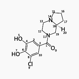 O=C(c1cc(O)c(O)c(Cl)c1)N1CCN2CCC[C@H]2C1